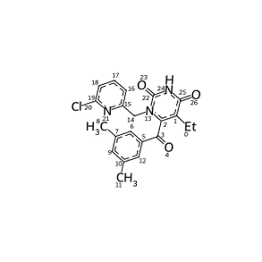 CCc1c(C(=O)c2cc(C)cc(C)c2)n(Cc2cccc(Cl)n2)c(=O)[nH]c1=O